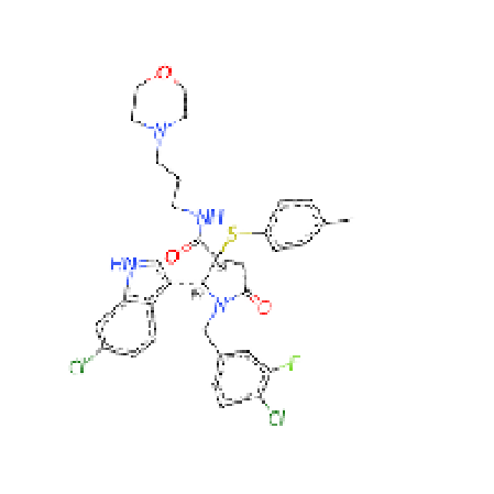 Cc1ccc(S[C@@]2(C(=O)NCCCN3CCOCC3)CC(=O)N(Cc3ccc(Cl)c(F)c3)[C@@H]2c2c[nH]c3cc(Cl)ccc23)cc1